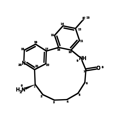 N[C@H]1CCCCCC(=O)Nc2cc(F)ccc2-c2ccnc1c2